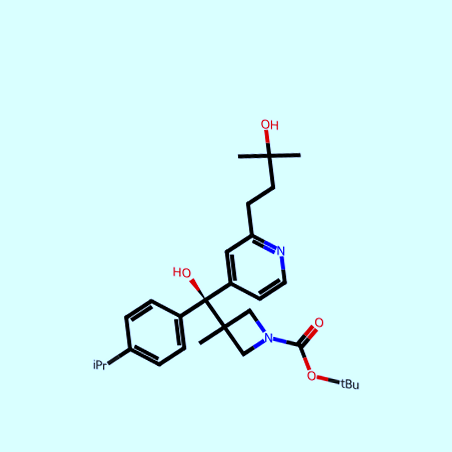 CC(C)c1ccc([C@](O)(c2ccnc(CCC(C)(C)O)c2)C2(C)CN(C(=O)OC(C)(C)C)C2)cc1